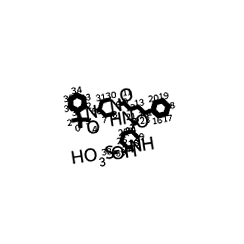 CC1(C)C(=O)N(C2CCN(C(=O)C(CCc3ccccc3)NC(=O)[C@@H]3CCCNC3)CC2)c2ccccc21.O=S(=O)(O)O